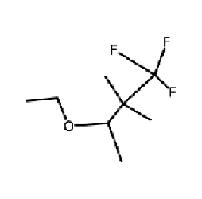 CCOC(C)C(C)(C)C(F)(F)F